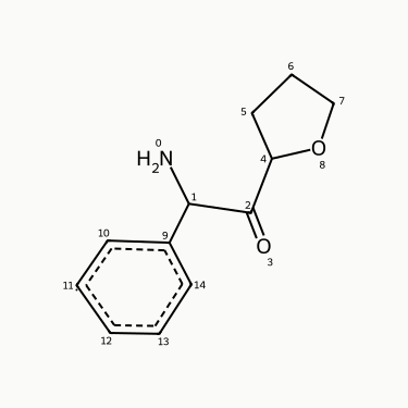 NC(C(=O)C1CCCO1)c1c[c]ccc1